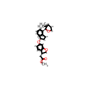 COC(=O)C[C@@H]1COc2cc(O[C@@H]3CCc4c3cccc4[C@@H]3OCCCC3(C)C)ccc21